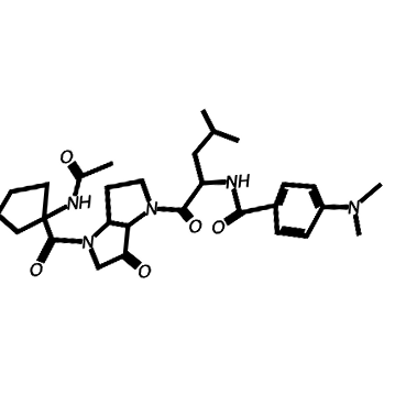 CC(=O)NC1(C(=O)N2CC(=O)C3C2CCN3C(=O)C(CC(C)C)NC(=O)c2ccc(N(C)C)cc2)CCCC1